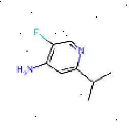 CC(C)c1cc(N)c(F)cn1